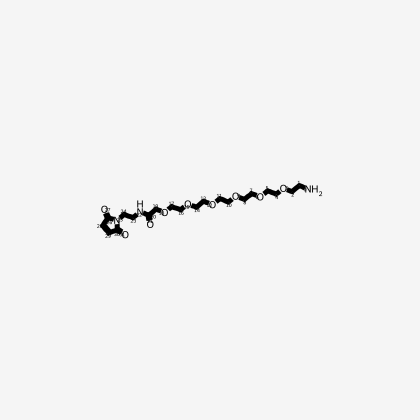 NCCOCCOCCOCCOCCOCCOCC(=O)NCCN1C(=O)C=CC1=O